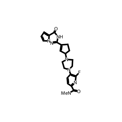 CNC(=O)c1ccc(N2CCN(C3C=C(c4nn5cccc5c(=O)[nH]4)CC3)CC2)c(F)n1